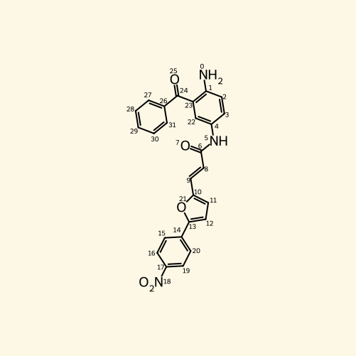 Nc1ccc(NC(=O)C=Cc2ccc(-c3ccc([N+](=O)[O-])cc3)o2)cc1C(=O)c1ccccc1